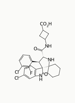 O=C(O)C1CC(NC(=O)[C@@H]2NC3(CCCCC3)[C@@]3(C(=O)Nc4cc(Cl)ccc43)[C@H]2c2cccc(Cl)c2F)C1